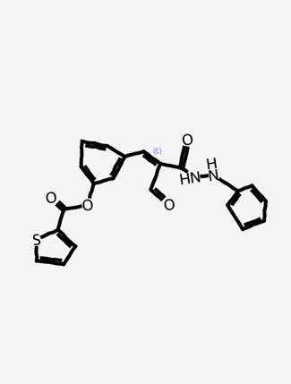 O=C/C(=C\c1cccc(OC(=O)c2cccs2)c1)C(=O)NNc1ccccc1